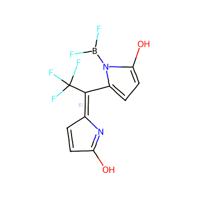 OC1=N/C(=C(\c2ccc(O)n2B(F)F)C(F)(F)F)C=C1